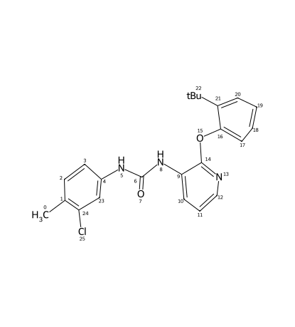 Cc1ccc(NC(=O)Nc2cccnc2Oc2ccccc2C(C)(C)C)cc1Cl